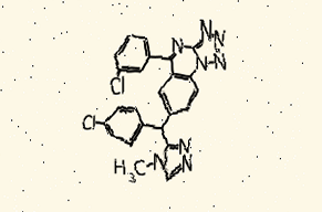 Cn1cnnc1C(c1ccc(Cl)cc1)c1ccc2c(c1)c(-c1cccc(Cl)c1)nc1nnnn12